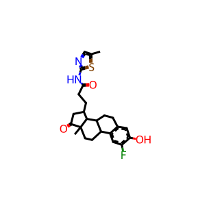 Cc1cnc(NC(=O)CCC2CC(=O)C3(C)CCC4c5cc(F)c(O)cc5CCC4C23)s1